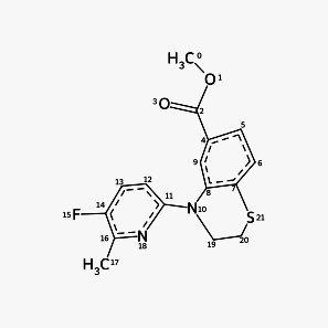 COC(=O)c1ccc2c(c1)N(c1ccc(F)c(C)n1)CCS2